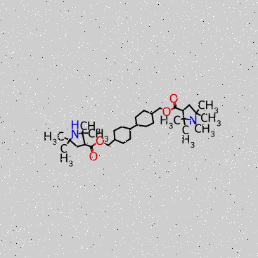 CN1C(C)(C)CC(C(=O)OCC2CCC(C3CCC(COC(=O)C4CC(C)(C)NC4(C)C)CC3)CC2)C1(C)C